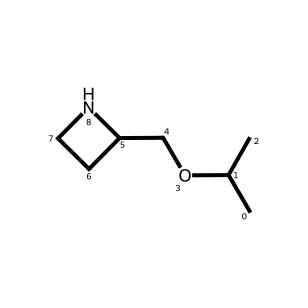 CC(C)OCC1CCN1